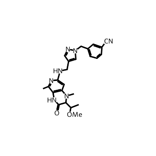 COC(C)C1C(=O)Nc2c(cc(NCc3cnn(Cc4cccc(C#N)c4)c3)nc2C)N1C